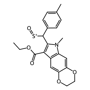 CCOC(=O)c1c(C([S+]=O)c2ccc(C)cc2)n(C)c2cc3c(cc12)OCCO3